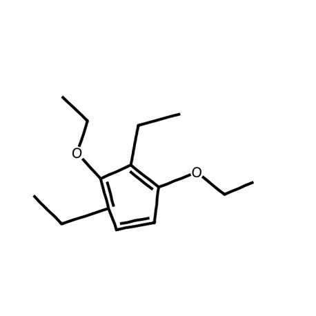 CCOc1ccc(CC)c(OCC)c1CC